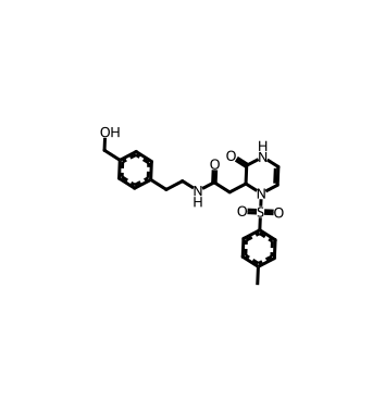 Cc1ccc(S(=O)(=O)N2C=CNC(=O)C2CC(=O)NCCc2ccc(CO)cc2)cc1